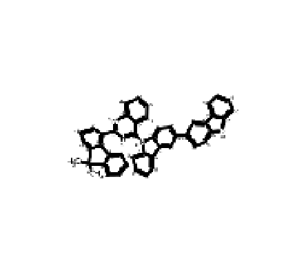 CC1(C)c2ccccc2-c2c(-c3nc(-n4c5ccccc5c5cc(-c6ccc7oc8ccccc8c7c6)ccc54)c4ccccc4n3)cccc21